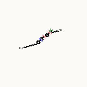 CCCCCCCCCCCc1ccc(-c2ncc(C(=O)Oc3ccc(C(=O)OC(CCCCCC)C(F)(F)F)cc3)cn2)cc1